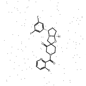 O=C(c1ncccc1F)N1CCC2(CN3[C@@H](CC[C@H]3c3cc(F)cc(F)c3)O2)C(=O)C1